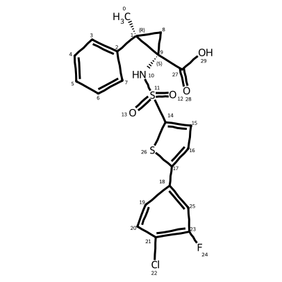 C[C@]1(c2ccccc2)C[C@@]1(NS(=O)(=O)c1ccc(-c2ccc(Cl)c(F)c2)s1)C(=O)O